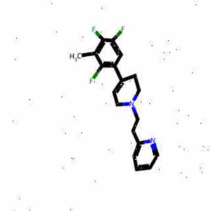 Cc1c(F)c(F)cc(C2=CCN(CCc3ccccn3)CC2)c1F